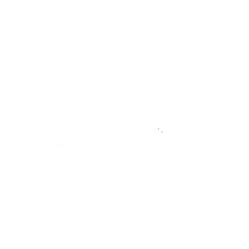 OCc1cccc(-n2cccc2)c1